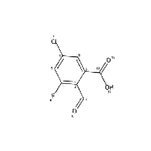 O=Cc1c(F)cc(Cl)cc1C(=O)O